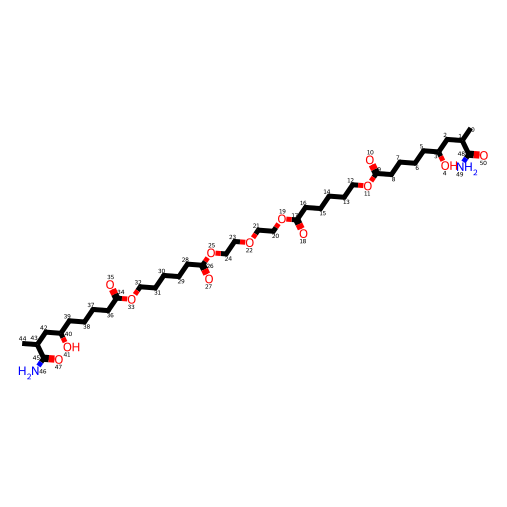 CC(CC(O)CCCCC(=O)OCCCCCC(=O)OCCOCCOC(=O)CCCCCOC(=O)CCCCC(O)CC(C)C(N)=O)C(N)=O